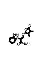 CNC(=O)/C(=C/OC1OC(=O)C(C)=C1C)n1nnc2ccccc21